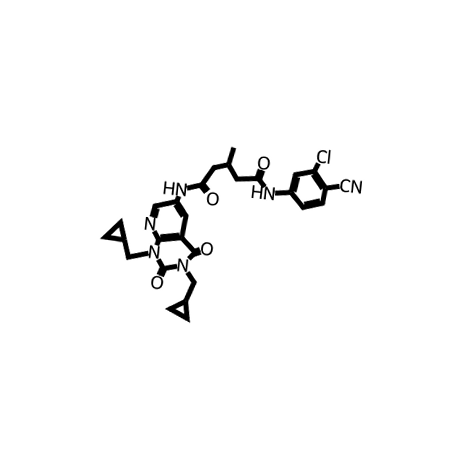 CC(CC(=O)Nc1ccc(C#N)c(Cl)c1)CC(=O)Nc1cnc2c(c1)c(=O)n(CC1CC1)c(=O)n2CC1CC1